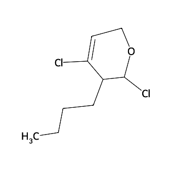 CCCCC1C(Cl)=CCOC1Cl